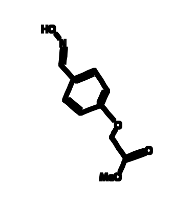 COC(=O)COc1ccc(/C=N/O)cc1